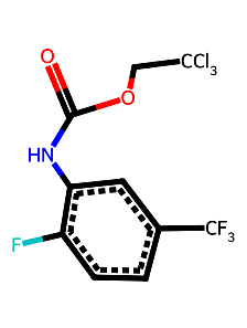 O=C(Nc1cc(C(F)(F)F)ccc1F)OCC(Cl)(Cl)Cl